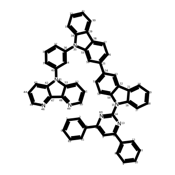 c1ccc(-c2cc(-c3ccccc3)nc(-n3c4ccccc4c4cc(-c5ccc6c7ccccc7n(-c7cccc(-n8c9cccnc9c9ncccc98)c7)c6c5)ccc43)n2)cc1